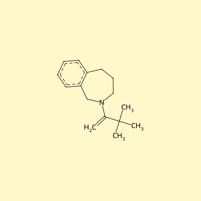 C=C(N1CCCc2ccccc2C1)C(C)(C)C